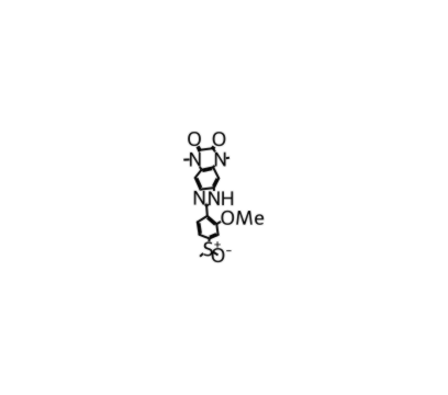 COc1cc([S+](C)[O-])ccc1-c1nc2cc3c(cc2[nH]1)n(C)c(=O)c(=O)n3C